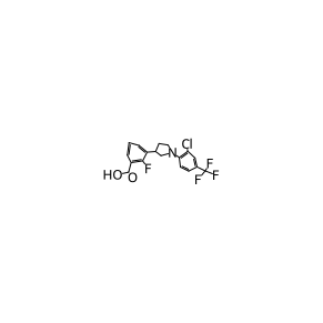 O=C(O)c1cccc(C2CCN(c3ccc(C(F)(F)F)cc3Cl)C2)c1F